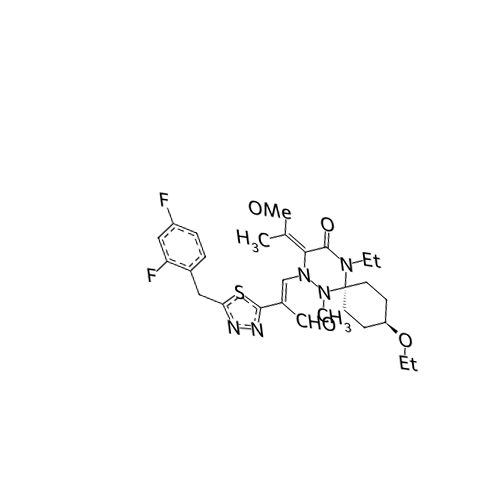 CCO[C@H]1CC[C@@]2(CC1)N(CC)C(=O)/C(=C(/C)OC)N(/C=C(\C=O)c1nnc(Cc3ccc(F)cc3F)s1)N2C